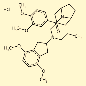 CCCN(CC1CC2CCC(C1)N2C(=O)c1ccc(OC)c(OC)c1)C1Cc2c(OC)ccc(OC)c2C1.Cl